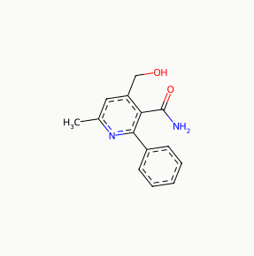 Cc1cc(CO)c(C(N)=O)c(-c2ccccc2)n1